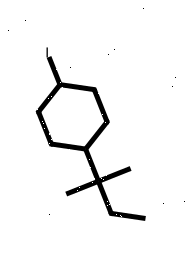 CCC(C)(C)C1CCC(I)CC1